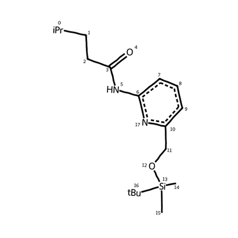 CC(C)CCC(=O)Nc1cccc(CO[Si](C)(C)C(C)(C)C)n1